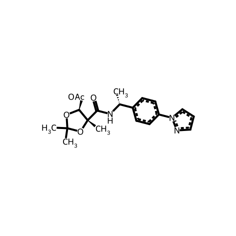 CC(=O)O[C@@H]1OC(C)(C)O[C@@]1(C)C(=O)N[C@H](C)c1ccc(-n2cccn2)cc1